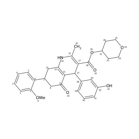 COc1ccccc1C1CC(=O)C2=C(C1)NC(C)=C(C(=O)OC1CCOCC1)C2c1cccc(O)c1